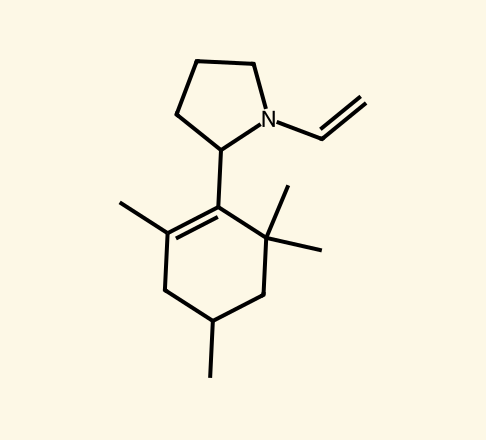 C=CN1CCCC1C1=C(C)CC(C)CC1(C)C